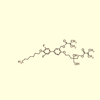 C=C(C)C(=O)OCCC(O)(CO)CCCOc1ccc(-c2cc(F)c(OCCCCCCC)c(F)c2)cc1COC(=O)C(=C)C